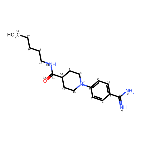 N=C(N)c1ccc(N2CCC(C(=O)NCCCCC(=O)O)CC2)cc1